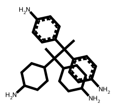 CC(c1ccc(N)cc1)(c1ccc(N)cc1)C(C)(C1CCC(N)CC1)C1CCC(N)CC1